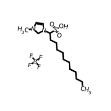 CCCCCCCCCCCC(N1C=CN(C)C1)S(=O)(=O)O.F[B-](F)(F)F